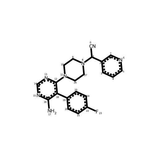 N#CC(c1cccnc1)N1CCN(c2ncnc(N)c2-c2ccc(F)cc2)CC1